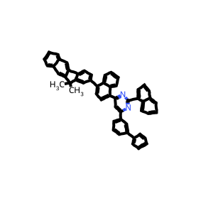 CC1(C)c2cc(-c3ccc(-c4cc(-c5cccc(-c6ccccc6)c5)nc(-c5cccc6ccccc56)n4)c4ccccc34)ccc2-c2cc3ccccc3cc21